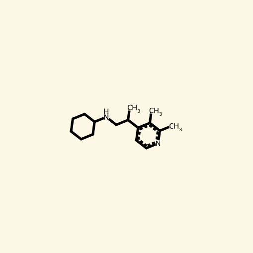 Cc1nccc(C(C)CNC2CCCCC2)c1C